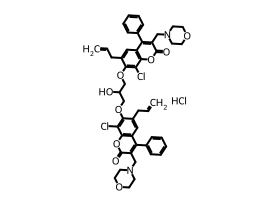 C=CCc1cc2c(-c3ccccc3)c(CN3CCOCC3)c(=O)oc2c(Cl)c1OCC(O)COc1c(CC=C)cc2c(-c3ccccc3)c(CN3CCOCC3)c(=O)oc2c1Cl.Cl